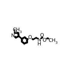 CCOC(=O)NCCOc1c[c]cc(-c2cnn(C)c2)c1